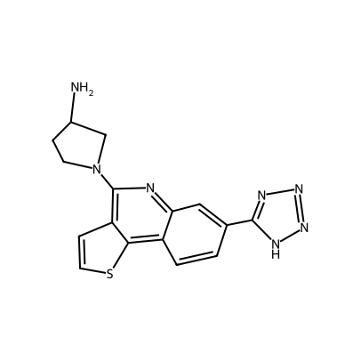 NC1CCN(c2nc3cc(-c4nnn[nH]4)ccc3c3sccc23)C1